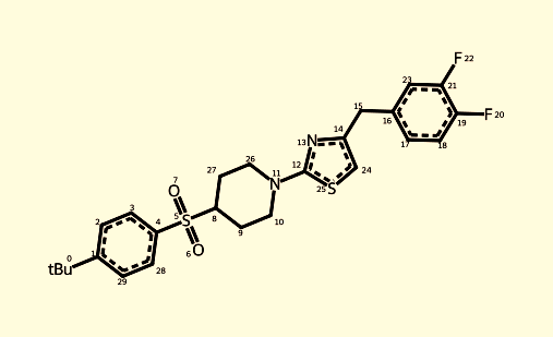 CC(C)(C)c1ccc(S(=O)(=O)C2CCN(c3nc(Cc4ccc(F)c(F)c4)cs3)CC2)cc1